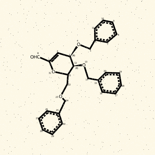 O=CC1=C[C@@H](OCc2ccccc2)[C@@H](OCc2ccccc2)C(COCc2ccccc2)O1